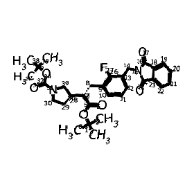 CC(C)(C)OC(=O)[C@@H](Cc1cccc(CN2C(=O)c3ccccc3C2=O)c1F)[C@H]1CCN(C(=O)OC(C)(C)C)C1